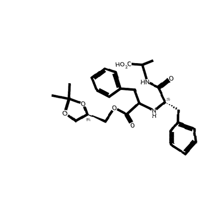 CC(NC(=O)[C@H](Cc1ccccc1)NC(Cc1ccccc1)C(=O)OC[C@H]1COC(C)(C)O1)C(=O)O